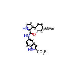 CCOC(=O)c1cc2cc(NC(=O)[C@H]3NCC[C@H]3[C@H]3CC[C@H](OC)CC3)ccc2[nH]1